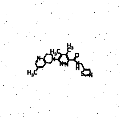 Cc1cnc2c(c1)CN(c1nnc(C(=O)NCc3cncs3)c(C)c1C)CC2